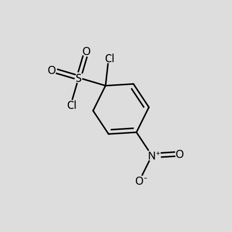 O=[N+]([O-])C1=CCC(Cl)(S(=O)(=O)Cl)C=C1